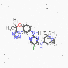 CC1(C)Oc2ccc(Nc3ncc(F)c(NC4CC(C)(C)N5C6=CC65C4)n3)cc2-n2nnnc21